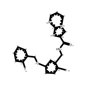 O=C(NCc1cc(OCc2ccccc2F)ccc1F)c1cn2cccnc2n1